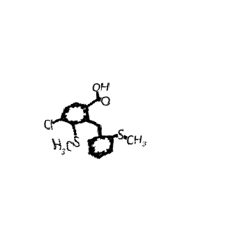 CSc1ccccc1Cc1c(C(=O)O)ccc(Cl)c1SC